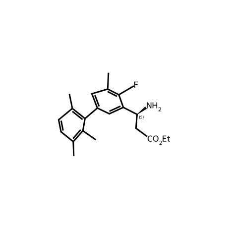 CCOC(=O)C[C@H](N)c1cc(-c2c(C)ccc(C)c2C)cc(C)c1F